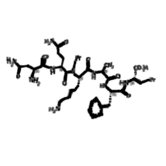 CC(C)C[C@H](NC(=O)[C@H](Cc1ccccc1)NC(=O)[C@H](C)NC(=O)[C@H](CCCCN)N(C(=O)[C@H](CCC(N)=O)NC(=O)[C@@H](N)CC(N)=O)C(C)C)C(=O)O